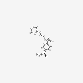 CS(=O)(=NCCCN1CCCCC1)c1ccc(C(N)=O)cc1